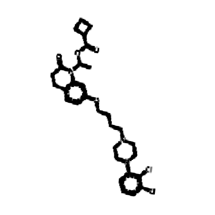 CC(OC(=O)C1CCC1)N1C(=O)CCc2ccc(OCCCCN3CCN(c4cccc(Cl)c4Cl)CC3)cc21